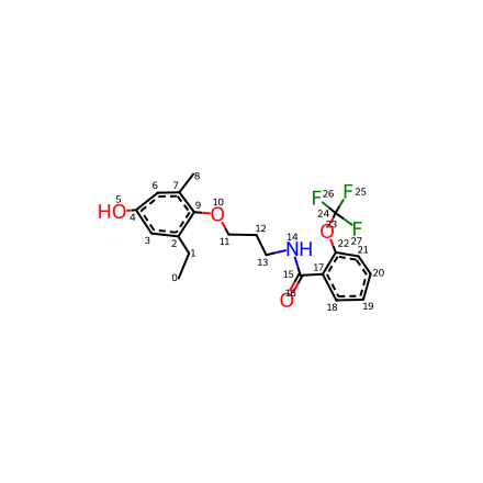 CCc1cc(O)cc(C)c1OCCCNC(=O)c1ccccc1OC(F)(F)F